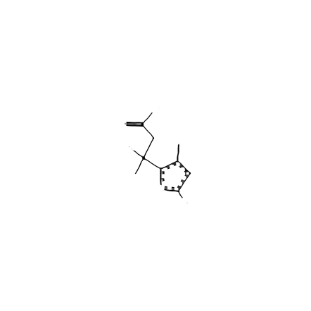 CC(N)(CC(=O)O)c1sc(Br)cc1Cl